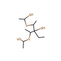 CCC(S)(C(C)SC(C)S)C(C)SC(C)S